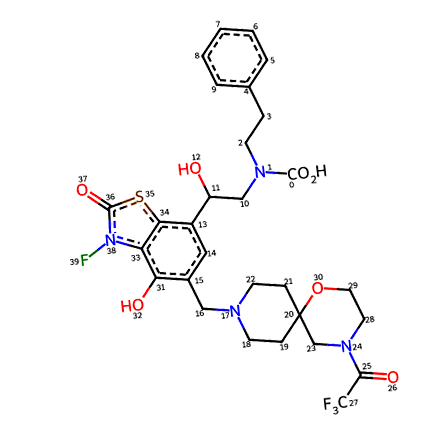 O=C(O)N(CCc1ccccc1)CC(O)c1cc(CN2CCC3(CC2)CN(C(=O)C(F)(F)F)CCO3)c(O)c2c1sc(=O)n2F